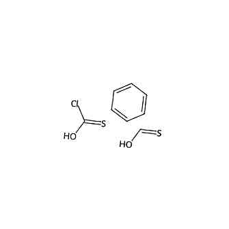 OC(=S)Cl.OC=S.c1ccccc1